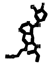 C=CC(=O)Nc1cc2c(Nc3ccc(F)c(Cl)c3)ncnc2cc1OCCOC